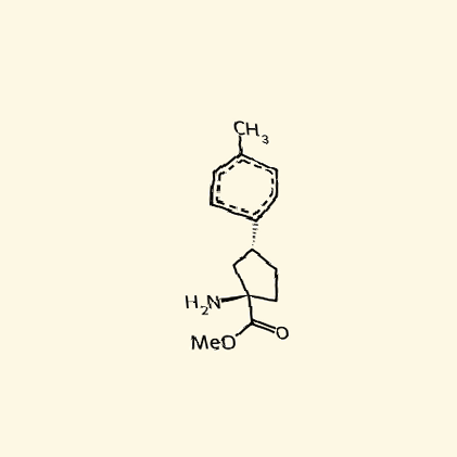 COC(=O)[C@@]1(N)CC[C@@H](c2ccc(C)cc2)C1